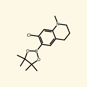 CN1CCCc2cc(B3OC(C)(C)C(C)(C)O3)c(Cl)cc21